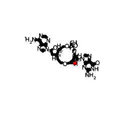 Nc1nc2c(ncn2[C@@H]2OC3OCC[C@H]4C[C@H](n5cnc6c(N)ncnc65)O[C@@H]4COP(=O)(S)O[C@@H]2[C@@H]3F)c(=O)[nH]1